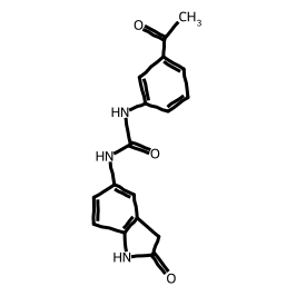 CC(=O)c1cccc(NC(=O)Nc2ccc3c(c2)CC(=O)N3)c1